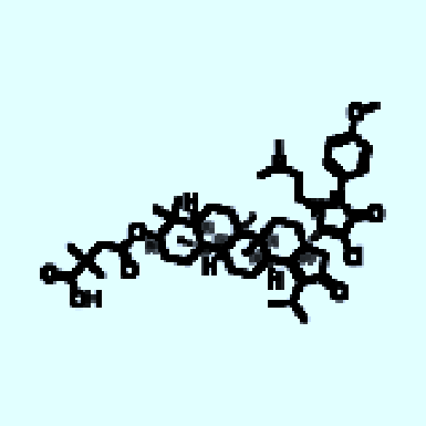 COc1ccc(-n2c(=O)c(Cl)c([C@@]34CC[C@]5(C)[C@H](CC[C@@H]6[C@@]7(C)CC[C@H](OC(=O)CC(C)(C)C(=O)O)C(C)(C)[C@@H]7CC[C@]65C)C3=C(C(C)C)C(=O)C4)n2CCN(C)C)cc1